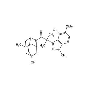 COc1ccc2c(c(C(C)(C)C(=O)N3C4CC5(C)CC3CC(O)(C4)C5)nn2C)c1Cl